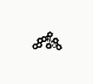 c1ccc(N(c2cccc3c2oc2ccccc23)n2c3ccccc3c3cc4ccc5c6ccccc6ccc5c4cc32)cc1